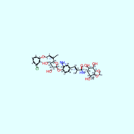 C/C(=C/COc1cccc(Cl)c1)[C@H]1O[C@@H](Oc2ccc(/C=C(\C)C(=O)N[C@@H]3C(O)C(O)C4OCO[C@H]4[C@@H]3O)cc2N)[C@H](O)[C@@H]1O